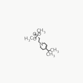 COP(=O)(CCN1CC=C(C(C)C)CC1)OC